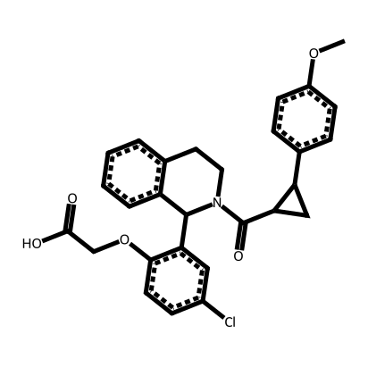 COc1ccc(C2CC2C(=O)N2CCc3ccccc3C2c2cc(Cl)ccc2OCC(=O)O)cc1